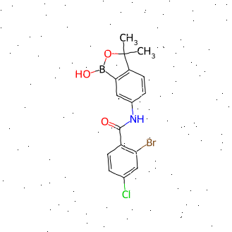 CC1(C)OB(O)c2cc(NC(=O)c3ccc(Cl)cc3Br)ccc21